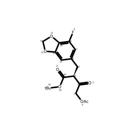 CC(=O)OCC(=O)[C@H](Cc1cc(F)c2c(c1)OCO2)C(=O)OC(C)(C)C